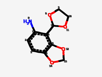 Nc1ccc2c(c1C1OCCO1)OCO2